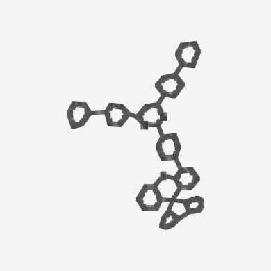 c1ccc(-c2ccc(-c3cc(-c4ccc(-c5ccccc5)cc4)nc(-c4ccc(-c5cccc6c5Sc5ccccc5C65c6ccccc6-c6ccccc65)cc4)n3)cc2)cc1